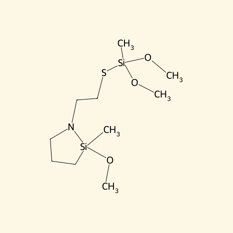 CO[Si](C)(OC)SCCN1CCC[Si]1(C)OC